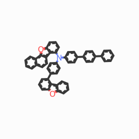 c1ccc(-c2ccc(-c3ccc(N(c4ccc(-c5cccc6oc7ccccc7c56)cc4)c4cccc5oc6c7ccccc7ccc6c45)cc3)cc2)cc1